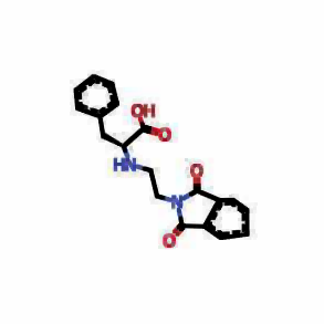 O=C(O)[C@H](Cc1ccccc1)NCCN1C(=O)c2ccccc2C1=O